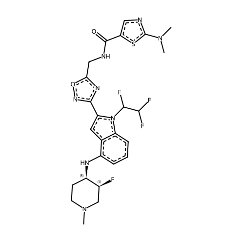 CN1CC[C@@H](Nc2cccc3c2cc(-c2noc(CNC(=O)c4cnc(N(C)C)s4)n2)n3C(F)C(F)F)[C@@H](F)C1